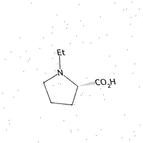 CCN1CCC[C@H]1C(=O)O